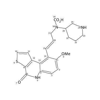 COc1ccc2[nH]c(=O)c3sccc3c2c1C=CCN(C(=O)O)C1CCCNC1